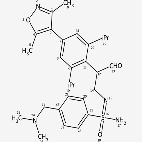 Cc1noc(C)c1-c1cc(C(C)C)c(C(C=O)CN=S(N)(=O)c2ccc(CN(C)C)cc2)c(C(C)C)c1